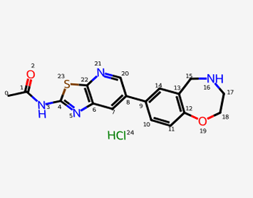 CC(=O)Nc1nc2cc(-c3ccc4c(c3)CNCCO4)cnc2s1.Cl